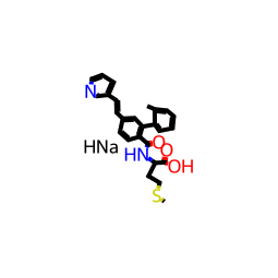 CSCCC(NC(=O)c1ccc(C=Cc2cccnc2)cc1-c1ccccc1C)C(=O)O.[NaH]